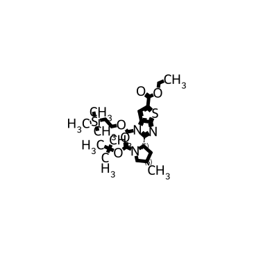 CCOC(=O)c1cc2c(nc([C@@H]3C[C@H](C)CN3C(=O)OC(C)(C)C)n2COCC[Si](C)(C)C)s1